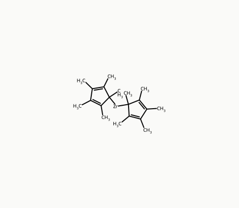 CC1=C(C)[C](C)([Zr][C]2(C)C(C)=C(C)C(C)=C2C)C(C)=C1C